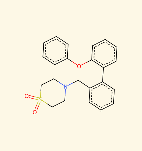 O=S1(=O)CCN(Cc2c[c]ccc2-c2ccccc2Oc2ccccc2)CC1